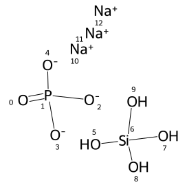 O=P([O-])([O-])[O-].O[Si](O)(O)O.[Na+].[Na+].[Na+]